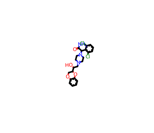 NC(=O)C(c1c(Cl)cccc1Cl)N1CCN(CC(O)C2COc3ccccc3O2)CC1